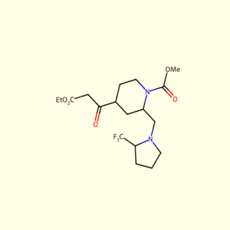 CCOC(=O)CC(=O)C1CCN(C(=O)OC)C(CN2CCCC2C(F)(F)F)C1